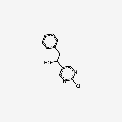 OC(Cc1ccccc1)c1cnc(Cl)nc1